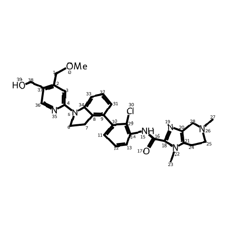 COCc1cc(N2CCc3c(-c4cccc(NC(=O)c5nc6c(n5C)CCN(C)C6)c4Cl)cccc32)ncc1CO